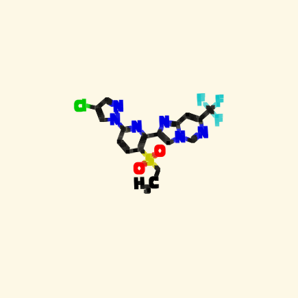 CCS(=O)(=O)c1ccc(-n2cc(Cl)cn2)nc1-c1cn2cnc(C(F)(F)F)cc2n1